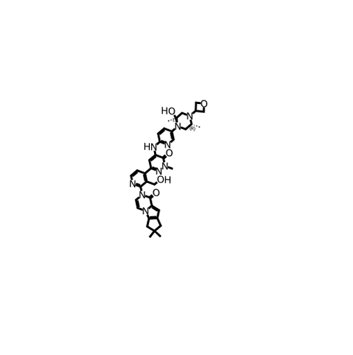 C[C@@H]1CN(c2ccc(Nc3cc(-c4ccnc(-n5ccn6c7c(cc6c5=O)CC(C)(C)C7)c4CO)nn(C)c3=O)nc2)[C@@](C)(O)CN1C1COC1